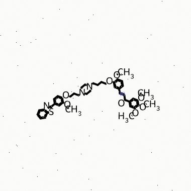 COc1ccc(/C=C/C(=O)c2cc(OC)c(OC)c(OC)c2)cc1OCCCCN1CCN(CCCOc2ccc(-c3nc4ccccc4s3)cc2OC)CC1